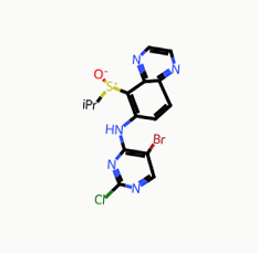 CC(C)[S+]([O-])c1c(Nc2nc(Cl)ncc2Br)ccc2nccnc12